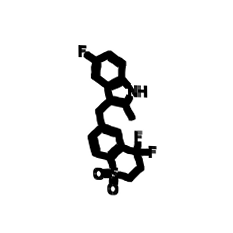 Cc1[nH]c2ccc(F)cc2c1Cc1ccc2c(c1)C(F)(F)CCS2(=O)=O